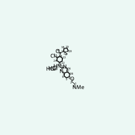 CNCCOc1ccc2nc(Nc3ccc(C(=O)c4cccs4)c(Cl)c3)ncc2c1.Cl.Cl